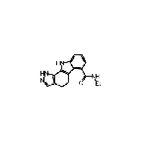 CCNC(=O)c1cccc2[nH]c3c(c12)CCc1cn[nH]c1-3